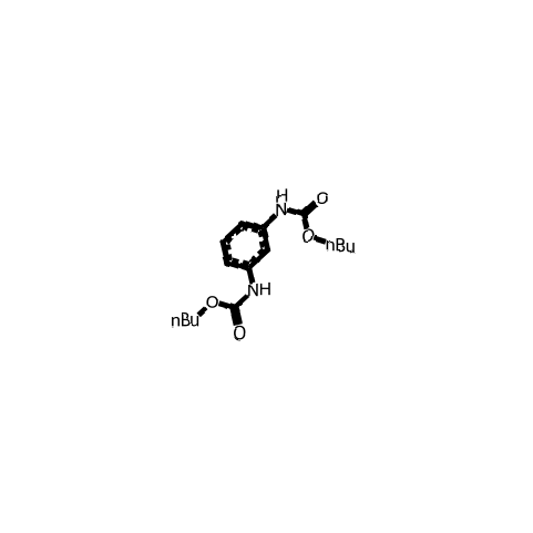 CCCCOC(=O)Nc1cccc(NC(=O)OCCCC)c1